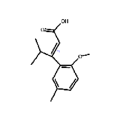 COc1ccc(C)cc1/C(=C/C(=O)O)C(C)C